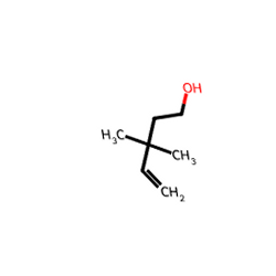 C=CC(C)(C)CCO